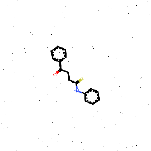 O=C(CCC(=S)Nc1ccccc1)c1ccccc1